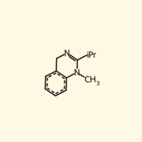 CC(C)C1=NCc2ccccc2N1C